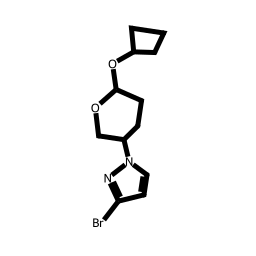 Brc1ccn(C2CCC(OC3CCC3)OC2)n1